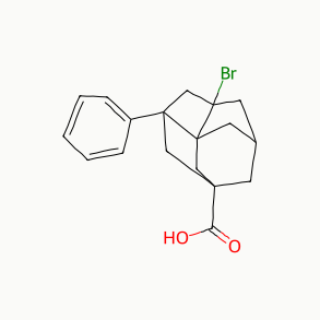 O=C(O)C12CC3CC4(Br)CC(c5ccccc5)(C1)C4(C3)C2